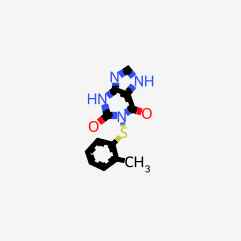 Cc1ccccc1Sn1c(=O)[nH]c2nc[nH]c2c1=O